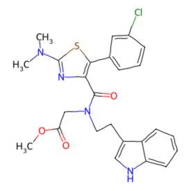 COC(=O)CN(CCc1c[nH]c2ccccc12)C(=O)c1nc(N(C)C)sc1-c1cccc(Cl)c1